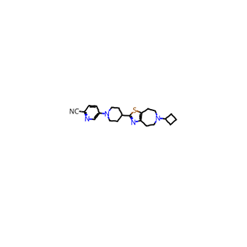 N#Cc1ccc(N2CCC(c3nc4c(s3)CCN(C3CCC3)CC4)CC2)cn1